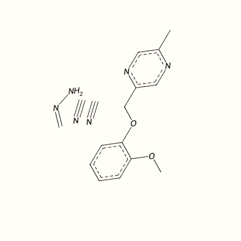 C#N.C#N.C=NN.COc1ccccc1OCc1cnc(C)cn1